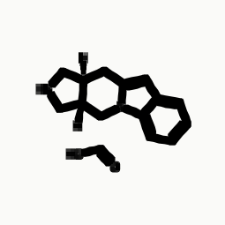 O=CO.c1ccc2c(c1)cc1n2C[C@@H]2CNC[C@H]2C1